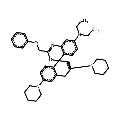 CCN(CC)c1ccc2c(c1)N=C(COc1ccccc1)OC21c2ccc(N3CCCCC3)cc2Cc2cc(N3CCCCC3)ccc21